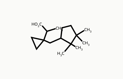 CC(C(=O)O)C1(CC2CCC(C)(C)C2(C)C)CC1